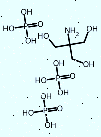 NC(CO)(CO)CO.O=P(O)(O)O.O=P(O)(O)O.O=P(O)(O)O